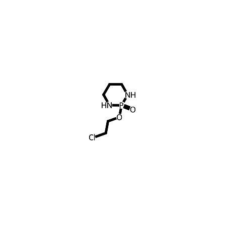 O=P1(OCCCl)NCCCN1